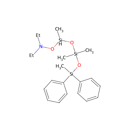 CCN(CC)O[SiH](C)O[Si](C)(C)O[Si](C)(c1ccccc1)c1ccccc1